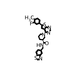 Cc1ccc(-c2cc3c(N4CCC[C@H](C(=O)NCc5ccc6scnc6c5)C4)ncnc3s2)cc1F